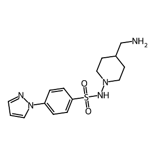 NCC1CCN(NS(=O)(=O)c2ccc(-n3cccn3)cc2)CC1